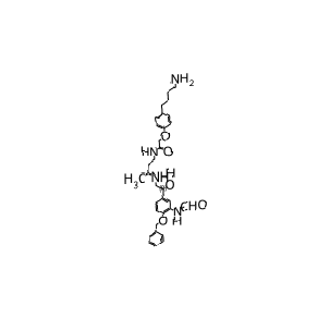 CC(CCNC(=O)COc1ccc(CCCCN)cc1)NC[C@H](O)c1ccc(OCc2ccccc2)c(NC=O)c1